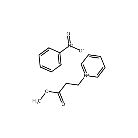 COC(=O)CC[n+]1ccccc1.O=[N+]([O-])c1ccccc1